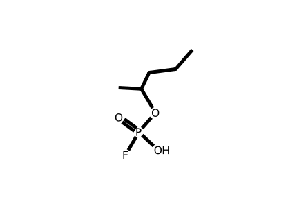 CCCC(C)OP(=O)(O)F